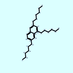 CCCCCCc1[c]c2ccc(CCCCCC)cc2c(CCCCCC)c1